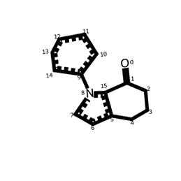 O=C1CCCc2ccn(-c3ccccc3)c21